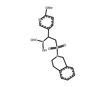 COc1ccc(C(CS(=O)(=O)N2CCc3ccccc3C2)N(O)C=O)cn1